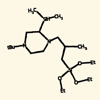 CCO[Si](CC(C)CN1CCN(C(C)(C)C)CC1[SiH](C)C)(OCC)OCC